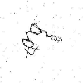 CC1(C)CCC(C)(C)c2cc(Cc3csc(C=CC(=O)O)c3)ccc21